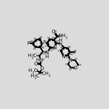 C[C@H](NC(=O)OC(C)(C)C)[C@H](Nc1nc(Nc2cnc(N3CCOCC3)c(F)c2)c(C(N)=O)cc1F)c1cccc(F)c1